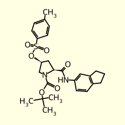 Cc1ccc(S(=O)(=O)O[C@H]2C[C@@H](C(=O)Nc3ccc4c(c3)CCC4)N(C(=O)OC(C)(C)C)C2)cc1